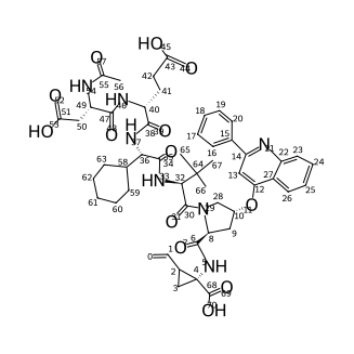 C=CC1C[C@]1(NC(=O)[C@@H]1C[C@@H](Oc2cc(-c3ccccc3)nc3ccccc23)CN1C(=O)[C@@H](NC(=O)[C@@H](NC(=O)[C@@H](CCC(=O)O)NC(=O)[C@H](CC(=O)O)NC(C)=O)C1CCCCC1)C(C)(C)C)C(=O)O